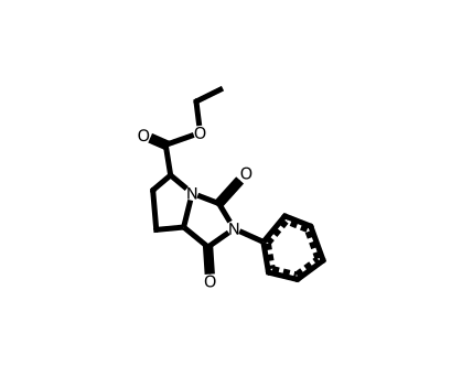 CCOC(=O)C1CCC2C(=O)N(c3ccccc3)C(=O)N12